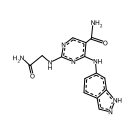 NC(=O)CNc1ncc(C(N)=O)c(Nc2ccc3cn[nH]c3c2)n1